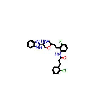 O=C(CCc1ccccc1Cl)Nc1cccc(F)c1CC[C@@H]1CN[C@H](c2nc3ccccc3[nH]2)CO1